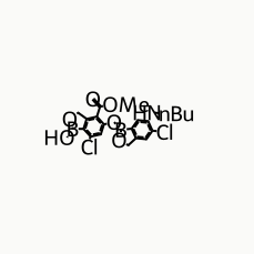 CCCCNc1cc2c(cc1Cl)COB2Oc1cc(Cl)c2c(c1C(=O)OC)COB2O